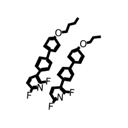 CCCCOc1ccc(-c2ccc(-c3ccc(F)nc3F)cc2)cc1.CCCOc1ccc(-c2ccc(-c3ccc(F)nc3F)cc2)cc1